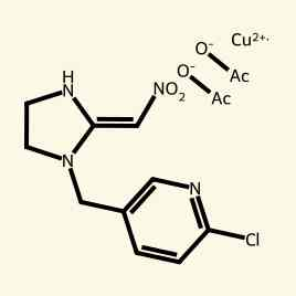 CC(=O)[O-].CC(=O)[O-].O=[N+]([O-])C=C1NCCN1Cc1ccc(Cl)nc1.[Cu+2]